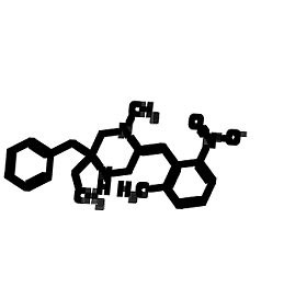 CCC1(Cc2ccccc2)CN(C)C(=Cc2c(C)cccc2[N+](=O)[O-])CN1